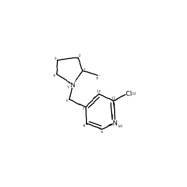 [CH2]C1CCCN1Cc1ccnc(Cl)c1